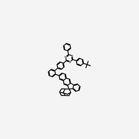 CC(C)(C)c1ccc(-c2nc(-c3ccccc3)nc(-c3ccc(-c4ccccc4-c4ccc5cc6c(cc5c4)C4(c5ccccc5-6)C5CC6CC(C5)CC4C6)cc3)n2)cc1